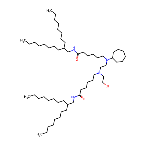 CCCCCCCCC(CCCCCCCC)CNC(=O)CCCCCN(CCO)CCN(CCCCCC(=O)NCC(CCCCCCCC)CCCCCCCC)C1CCCCCC1